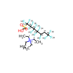 CC[N+](CC)(CC)CC.O=S(=O)(O)C(F)(F)C(F)(F)C(F)(F)C(F)(F)C(F)CC(F)(F)F